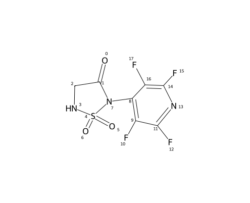 O=C1CNS(=O)(=O)N1c1c(F)c(F)nc(F)c1F